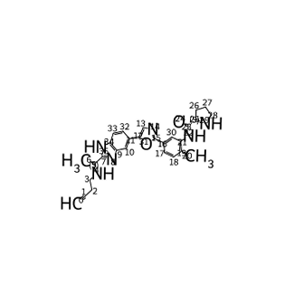 C#CCCN[C@@H](C)c1nc2cc(-c3cnc(-c4ccc(C)c(NC(=O)[C@@H]5CCCN5)c4)o3)ccc2[nH]1